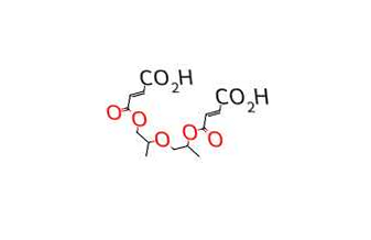 CC(COC(=O)C=CC(=O)O)OCC(C)OC(=O)C=CC(=O)O